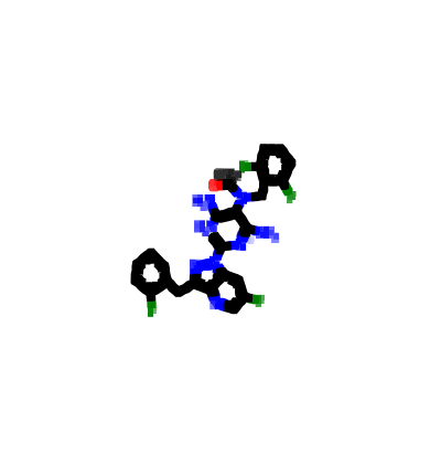 C=C(/N=C(/N)C(=C(N)N)N(Cc1c(F)cccc1F)C(=O)OC)n1nc(Cc2ccccc2F)c2ncc(F)cc21